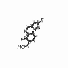 OCc1ccc2c(ncc3cc(F)nn32)c1F